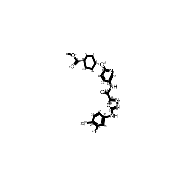 COC(=O)[C@H]1CC[C@H](Oc2ccc(NC(=O)c3nnc(Nc4ccc(F)c(F)c4)o3)cn2)CC1